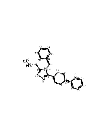 CCNCc1nnc(C2CCN(c3ccccn3)CC2)n1Cc1ccccc1